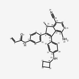 C=CC(=O)Nc1ccc(-c2c(-c3ccc(NC4CCC4)cc3)c3c(N)ncc(C#N)c3n2C)cc1